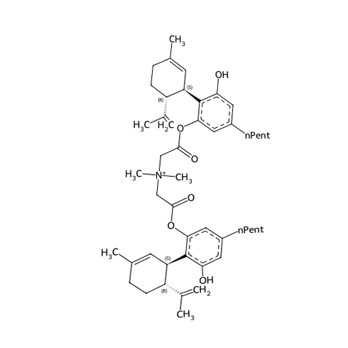 C=C(C)[C@@H]1CCC(C)=C[C@H]1c1c(O)cc(CCCCC)cc1OC(=O)C[N+](C)(C)CC(=O)Oc1cc(CCCCC)cc(O)c1[C@@H]1C=C(C)CC[C@H]1C(=C)C